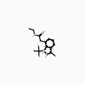 CCOC(=O)Cc1cccc2c(C)nn(C(C)(C)C)c12